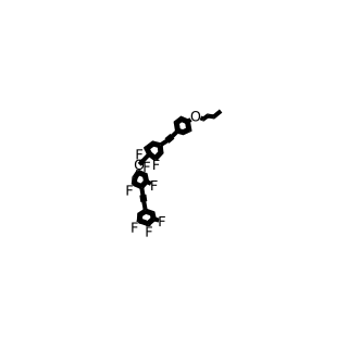 CCCCOc1ccc(C#Cc2ccc(C(F)(F)Oc3cc(F)c(C#Cc4cc(F)c(F)c(F)c4)c(F)c3)c(F)c2)cc1